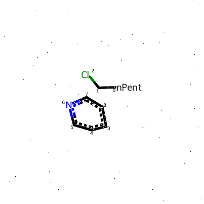 CCCCCCCl.c1ccncc1